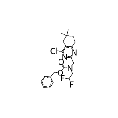 CC1(C)CCc2nc(CN(CC(F)F)C(=O)OCc3ccccc3)nc(Cl)c2C1